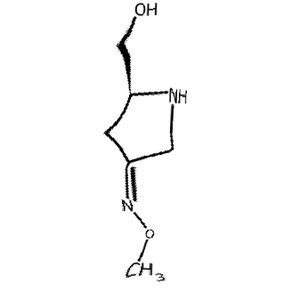 CO/N=C1\CN[C@H](CO)C1